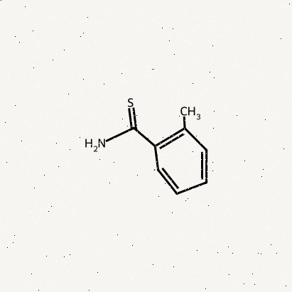 Cc1ccc[c]c1C(N)=S